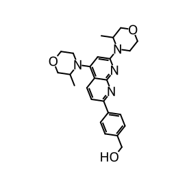 CC1COCCN1c1cc(N2CCOCC2C)c2ccc(-c3ccc(CO)cc3)nc2n1